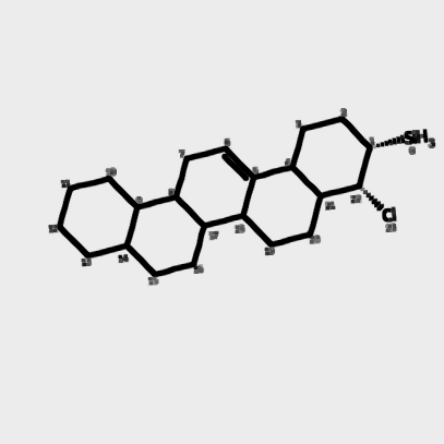 [SiH3][C@H]1CCC2C3=CCC4C5CCCCC5CCC4C3CCC2[C@H]1Cl